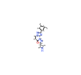 Cc1cc(C)cc(-c2ncn(/C=C\c3nnc(C4CNC4)o3)n2)c1